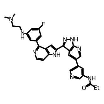 CCC(=O)Nc1cncc(-c2cnc3[nH]nc(-c4cc5c(-c6cc(F)cc(NCCN(C)C)c6)nccc5[nH]4)c3c2)c1